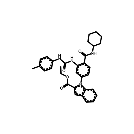 CCOC(=O)c1cc2ccccc2n1-c1ccc(C(=O)NC2CCCCC2)c(NC(=O)Nc2ccc(C)cc2)c1